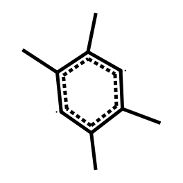 Cc1[c]c(C)c(C)[c]c1C